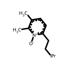 Cc1ccc(CCC(C)C)[n+]([O-])c1C